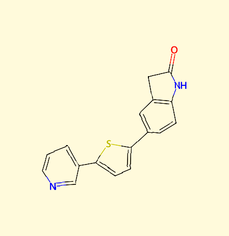 O=C1Cc2cc(-c3ccc(-c4cccnc4)s3)ccc2N1